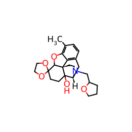 Cc1ccc2c3c1OC1C4(CCC5(O)[C@@H](C2)N(CC2CCCO2)CC[C@]315)OCCO4